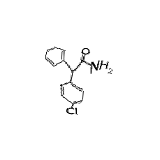 NC(=O)C(c1ccccc1)c1ccc(Cl)cc1